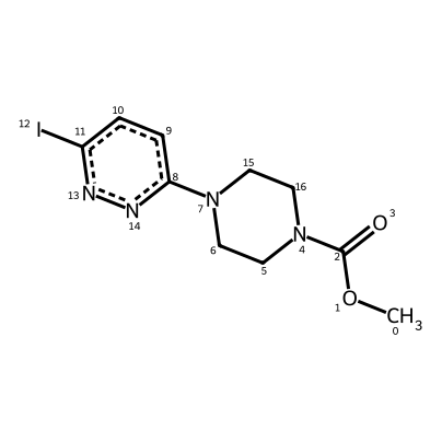 COC(=O)N1CCN(c2ccc(I)nn2)CC1